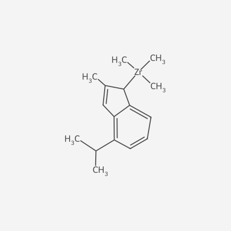 CC1=Cc2c(C(C)C)cccc2[CH]1[Zr]([CH3])([CH3])[CH3]